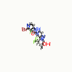 C#CC1(O)CCC(F)(F)c2c3c(nn2C1)CCN(C(=O)Nc1ccnc(Br)c1F)C3